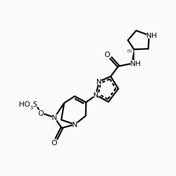 O=C(N[C@H]1CCNC1)c1ccn(C2=CC3CN(C2)C(=O)N3OS(=O)(=O)O)n1